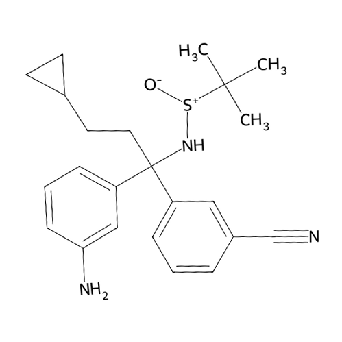 CC(C)(C)[S+]([O-])NC(CCC1CC1)(c1cccc(N)c1)c1cccc(C#N)c1